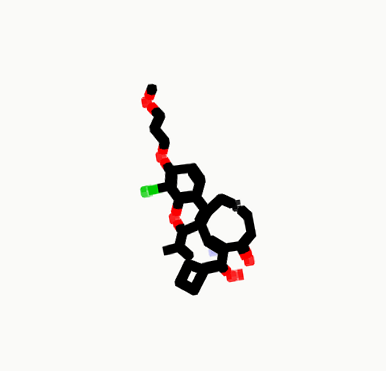 COCCCOc1ccc2c(c1Cl)OC(C(C)C)C1=C2CCCCC(=O)/C(C(O)=C2CCC2)=C\1